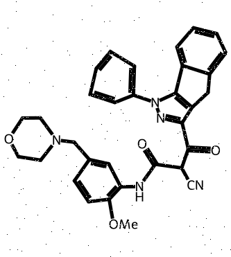 COc1ccc(CN2CCOCC2)cc1NC(=O)C(C#N)C(=O)c1nn(-c2ccccc2)c2c1Cc1ccccc1-2